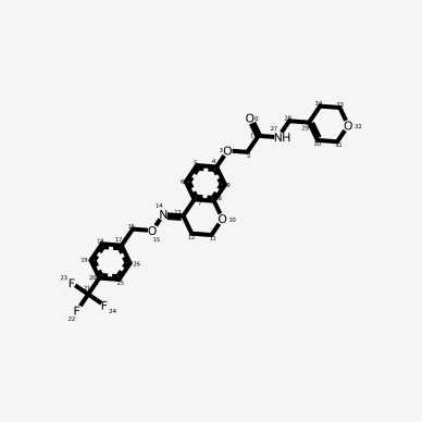 O=C(COc1ccc2c(c1)OCCC2=NOCc1ccc(C(F)(F)F)cc1)NCC1=CCOCC1